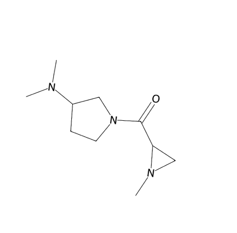 CN(C)C1CCN(C(=O)C2CN2C)C1